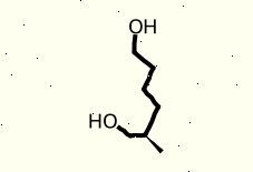 C[C@@H](CO)CCCCO